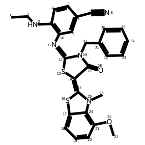 CCNc1ccc(C#N)cc1/N=C1/S/C(=C2\Sc3cccc(OC)c3N2C)C(=O)N1Cc1ccccc1